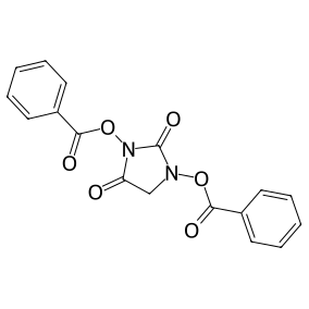 O=C(ON1CC(=O)N(OC(=O)c2ccccc2)C1=O)c1ccccc1